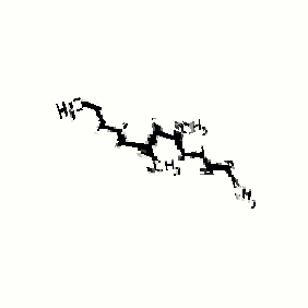 CCCCCC(C)CC(C)CCCCC